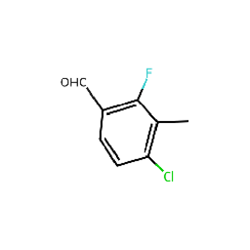 Cc1c(Cl)ccc(C=O)c1F